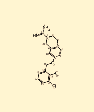 N=C(N)N1CCc2ccc(OCc3cccc(Cl)c3Cl)cc2C1